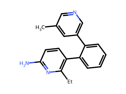 CCc1nc(N)ccc1-c1ccccc1-c1cncc(C)c1